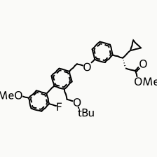 COC(=O)C[C@H](c1cccc(OCc2ccc(-c3cc(OC)ccc3F)c(COC(C)(C)C)c2)c1)C1CC1